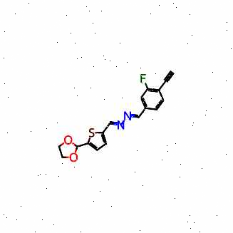 C#Cc1ccc(/C=N/N=C/c2ccc(C3OCCO3)s2)cc1F